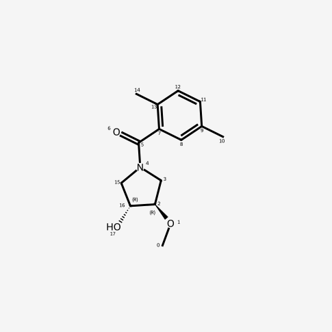 CO[C@@H]1CN(C(=O)c2cc(C)ccc2C)C[C@H]1O